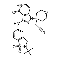 CC(C)(C)N1Cc2cc(Nc3nn(C4(CC#N)CCOCC4)c4cc[nH]c(=O)c34)ccc2S1(=O)=O